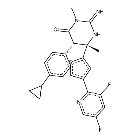 CN1C(=N)N[C@](C)(c2cc(-c3ncc(F)cc3F)cs2)[C@H](c2ccc(C3CC3)cc2)C1=O